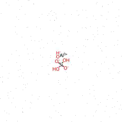 [Al+3].[O-][Si]([O-])(O)O.[OH-]